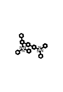 C1=CC(c2ccc(-c3nc(C4=CCCC=C4)nc(-c4ccccc4)n3)c(-c3ccc(-c4ccc(-c5nc(C6=CCCC=C6)nc(-c6ccccc6)n5)cc4)cc3)c2)=CCC1